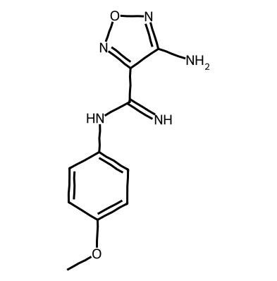 COc1ccc(NC(=N)c2nonc2N)cc1